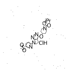 CC(C)OC(=O)N1CCC(Oc2ncnc3c2CCN3c2ccc(S(C)(=O)=O)cn2)CC1.Cl